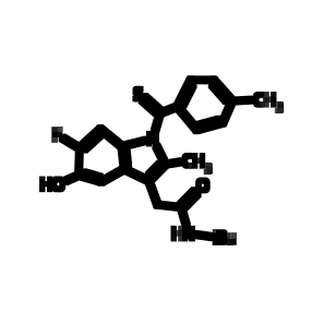 CCC(C)NC(=O)Cc1c(C)n(C(=S)c2ccc(C)cc2)c2cc(F)c(O)cc12